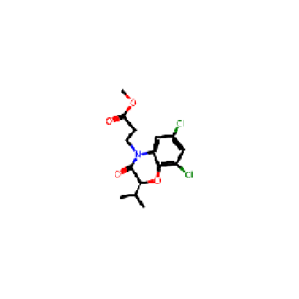 COC(=O)CCN1C(=O)[C@H](C(C)C)Oc2c(Cl)cc(Cl)cc21